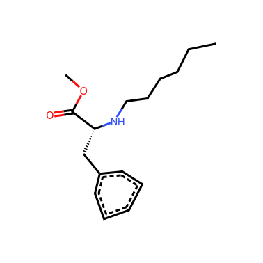 CCCCCCN[C@H](Cc1ccccc1)C(=O)OC